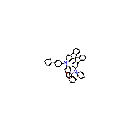 c1ccc(-c2ccc(N(c3ccc(-c4ccccc4)cc3)c3ccc4c(c3)C3(c5ccccc5-c5cc(N(c6ccccc6)c6ccccc6)ccc53)c3ccccc3-4)cc2)cc1